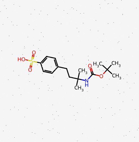 CC(C)(CCc1ccc(S(=O)(=O)O)cc1)NC(=O)OC(C)(C)C